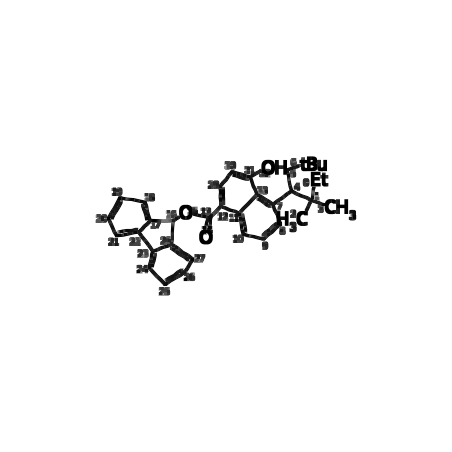 CCC(C)(C)C(CC(C)(C)C)c1cccc2c(C(=O)OC3c4ccccc4-c4ccccc43)ccc(O)c12